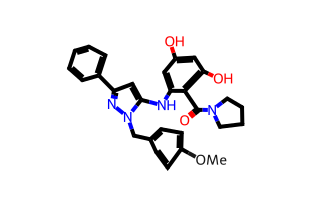 COc1ccc(Cn2nc(-c3ccccc3)cc2Nc2cc(O)cc(O)c2C(=O)N2CCCC2)cc1